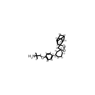 CC(C)(N)COc1ccc([C@@H]2CCC[C@@]3(C2)CC2(OO3)C3CC4CC(C3)CC2C4)cc1